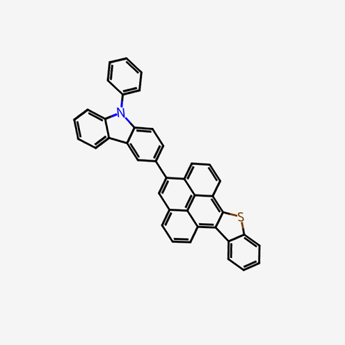 c1ccc(-n2c3ccccc3c3cc(-c4cc5cccc6c7c8ccccc8sc7c7cccc4c7c56)ccc32)cc1